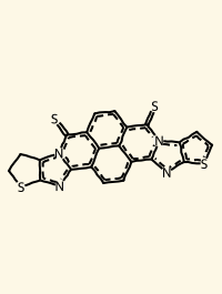 S=c1c2ccc3c(=S)n4c5ccsc5nc4c4ccc(c2c34)c2nc3c(n12)CCS3